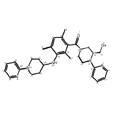 Cc1cc(C)c(C(=O)N2CCN(c3ccccn3)[C@H](CO)C2)c(C)c1NC1CCN(c2ccccn2)CC1